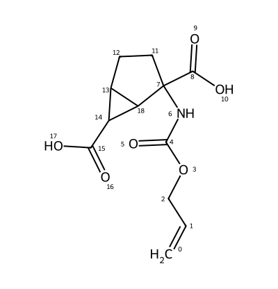 C=CCOC(=O)NC1(C(=O)O)CCC2C(C(=O)O)C21